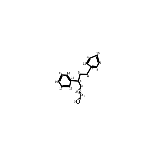 O=POCC(CCc1ccccc1)c1ccccc1